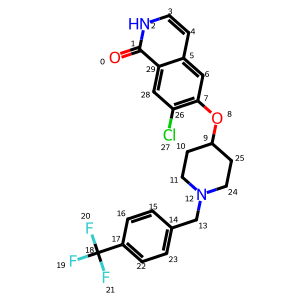 O=c1[nH]ccc2cc(OC3CCN(Cc4ccc(C(F)(F)F)cc4)CC3)c(Cl)cc12